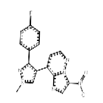 Cn1cc(-c2ccnn3c([N+](=O)[O-])cnc23)c(-c2ccc(F)cc2)n1